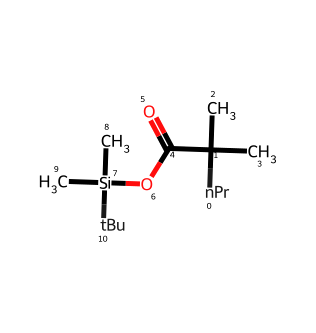 CCCC(C)(C)C(=O)O[Si](C)(C)C(C)(C)C